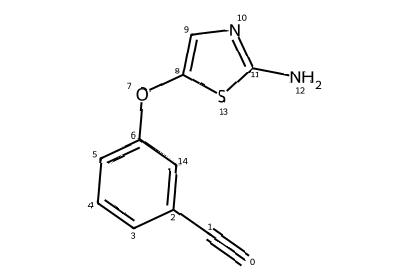 C#Cc1cccc(Oc2cnc(N)s2)c1